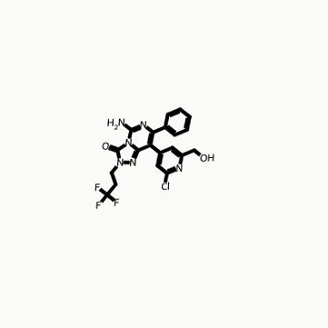 Nc1nc(-c2ccccc2)c(-c2cc(Cl)nc(CO)c2)c2nn(CCC(F)(F)F)c(=O)n12